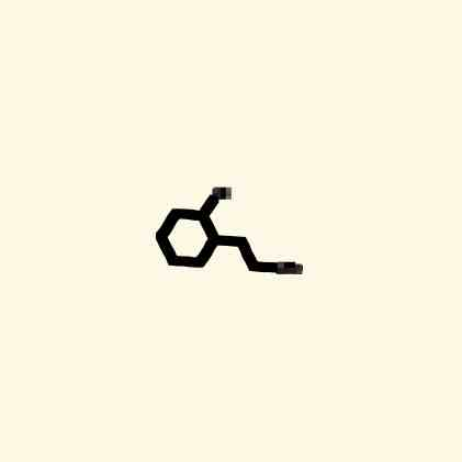 COCCC1CCCC[C]1O